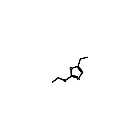 CCSc1ncc(CC)o1